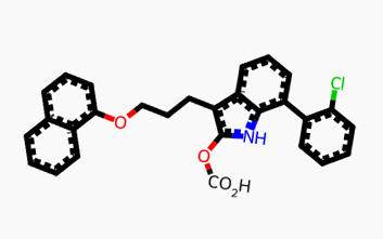 O=C(O)Oc1[nH]c2c(-c3ccccc3Cl)cccc2c1CCCOc1cccc2ccccc12